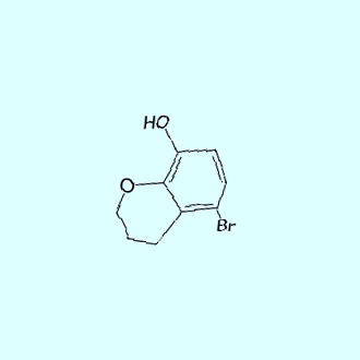 Oc1ccc(Br)c2c1OCCC2